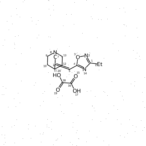 CCc1noc(/C=C2\CN3CCC2CC3)n1.O=C(O)C(=O)O